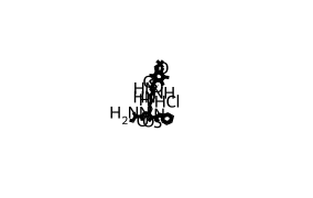 CCC(N)C(=O)NC(CCCNC(=N)NS(=O)(=O)c1c(C)c(C)c2c(c1C)CC(C)(C)O2)C(=O)c1nc2ccccc2s1.Cl